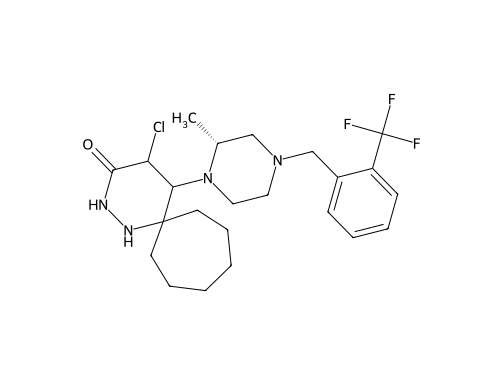 C[C@@H]1CN(Cc2ccccc2C(F)(F)F)CCN1C1C(Cl)C(=O)NNC12CCCCCC2